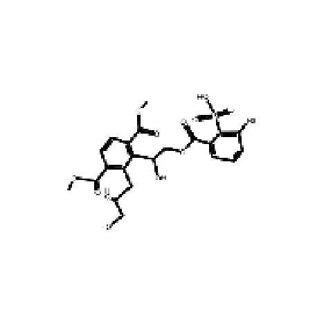 COC(=O)c1ccc(C(=O)OC)c(C(O)COC(=O)c2ccc[c]([Na])c2S(=O)(=O)O)c1CC(O)CO